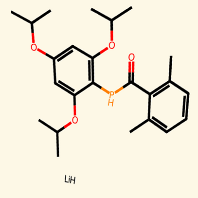 Cc1cccc(C)c1C(=O)Pc1c(OC(C)C)cc(OC(C)C)cc1OC(C)C.[LiH]